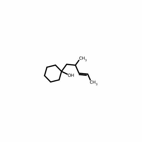 CC=CC(C)CC1(O)CCCCC1